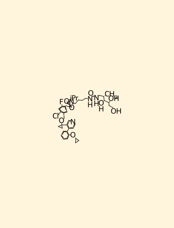 CC(C)N(CCCCNC(=O)NC[C@H](C)C(O)C(O)CCO)S(=O)(=O)c1cc(COC2(c3cnccc3-c3ccccc3OC3CC3)CC2)c(Cl)cc1F